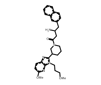 COCCCn1c(C2CCCN(C(=O)CC(N)Cc3ccc4ccccc4c3)C2)nc2ccc(OC)nc21